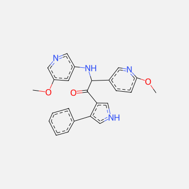 COc1cncc(NC(C(=O)c2c[nH]cc2-c2ccccc2)c2ccc(OC)nc2)c1